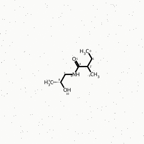 CCC(C)C(=O)NC[C@@H](C)O